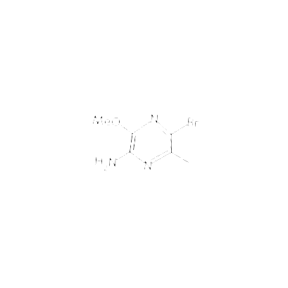 COc1nc(Br)c(C)nc1N